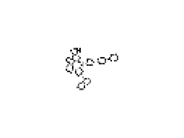 c1ccc(-c2ccc(-c3ccc(N(c4cccc(-c5cccc6ccccc56)c4)c4cc5ncccc5c5oc6ccccc6c45)cc3)cc2)cc1